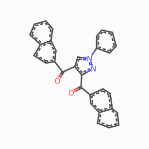 O=C(c1ccc2ccccc2c1)c1cn(-c2ccccc2)nc1C(=O)c1ccc2ccccc2c1